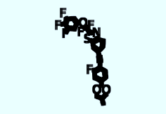 CC1COC(c2ccc(C#Cc3ccc4nc(C(F)(F)Oc5cc(F)c(F)c(F)c5)sc4c3)c(F)c2)OC1